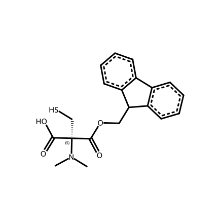 CN(C)[C@@](CS)(C(=O)O)C(=O)OCC1c2ccccc2-c2ccccc21